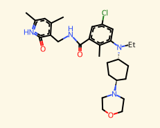 CCN(c1cc(Cl)cc(C(=O)NCc2c(C)cc(C)[nH]c2=O)c1C)[C@H]1CC[C@H](N2CCOCC2)CC1